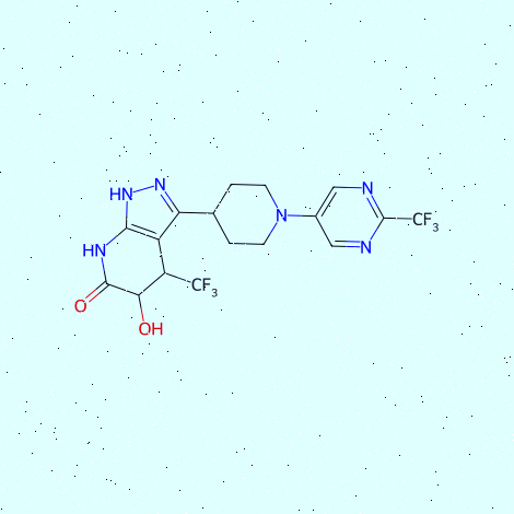 O=C1Nc2[nH]nc(C3CCN(c4cnc(C(F)(F)F)nc4)CC3)c2C(C(F)(F)F)C1O